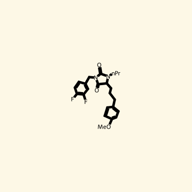 CCCN1C(=O)N(Cc2ccc(F)c(F)c2)C(=O)C1CCCc1ccc(OC)cc1